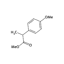 COC(=O)C(C)c1ccc(OC)cc1